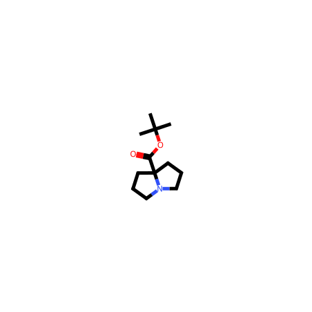 CC(C)(C)OC(=O)C12CCCN1CCC2